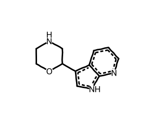 c1cnc2[nH]cc(C3CNCCO3)c2c1